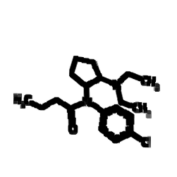 CCCC(=O)N(c1ccc(Cl)cc1)C1CCCC1N(CC)CC